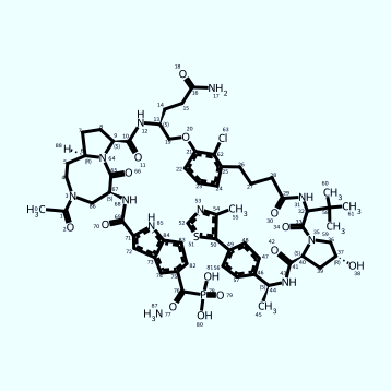 CC(=O)N1CC[C@H]2CC[C@@H](C(=O)N[C@@H](CCC(N)=O)COc3cccc(CCCC(=O)NC(C(=O)N4C[C@H](O)C[C@H]4C(=O)N[C@@H](C)c4ccc(-c5scnc5C)cc4)C(C)(C)C)c3Cl)N2C(=O)[C@@H](NC(=O)c2cc3cc(C(=O)P(=O)(O)O)ccc3[nH]2)C1.N